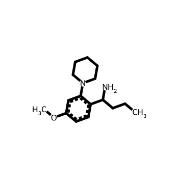 CCCC(N)c1ccc(OC)cc1N1CCCCC1